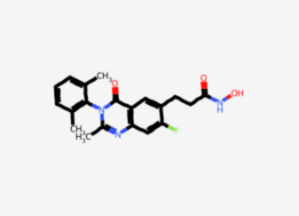 Cc1cccc(C)c1-n1c(C)nc2cc(F)c(CCC(=O)NO)cc2c1=O